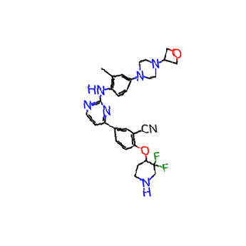 Cc1cc(N2CCN(C3COC3)CC2)ccc1Nc1nccc(-c2ccc(OC3CCNCC3(F)F)c(C#N)c2)n1